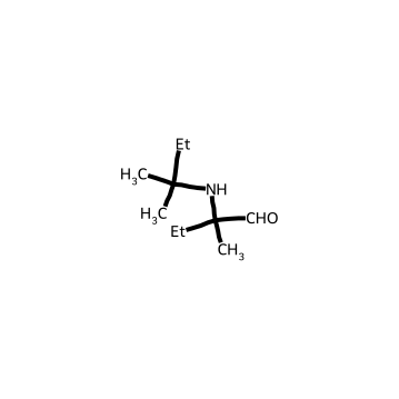 CCC(C)(C)NC(C)(C=O)CC